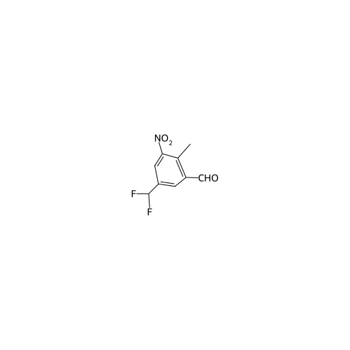 Cc1c(C=O)cc(C(F)F)cc1[N+](=O)[O-]